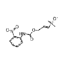 C[N+](C)([O-])/C=C/COC(=O)Nc1ccccc1[N+](=O)[O-]